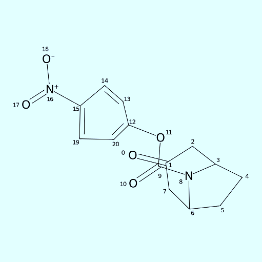 O=C1CC2CCC(C1)N2C(=O)Oc1ccc([N+](=O)[O-])cc1